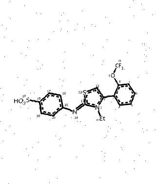 CCn1c(-c2ccccc2OC(F)(F)F)cs/c1=N\c1ccc(S(=O)(=O)O)cc1